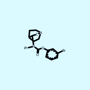 CC(C)N(C(=O)Oc1cccc(Br)c1)C1CN2CCC1CC2